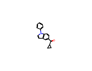 O=C(c1ccc2c(ccn2-c2ccccc2)c1)C1CC1